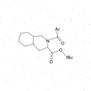 CC(=O)C(=O)N1CC2CCCCC2CC1C(=O)OC(C)(C)C